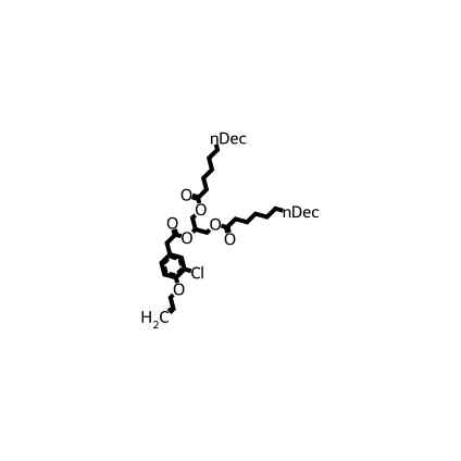 C=CCOc1ccc(CC(=O)OC(COC(=O)CCCCCCCCCCCCCCC)COC(=O)CCCCCCCCCCCCCCC)cc1Cl